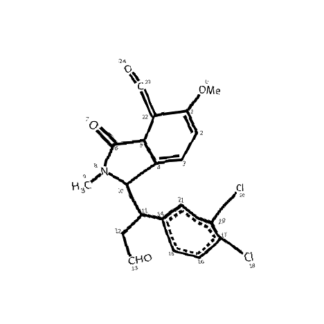 COC1=CC=C2C(C(=O)N(C)C2C(CC=O)c2ccc(Cl)c(Cl)c2)C1=C=O